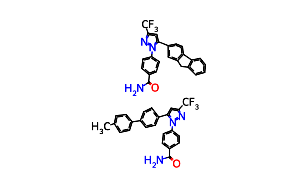 Cc1ccc(-c2ccc(-c3cc(C(F)(F)F)nn3-c3ccc(C(N)=O)cc3)cc2)cc1.NC(=O)c1ccc(-n2nc(C(F)(F)F)cc2-c2ccc3c(c2)Cc2ccccc2-3)cc1